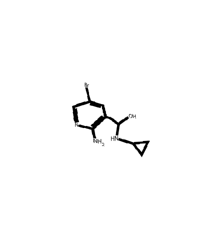 Nc1ncc(Br)cc1C(O)NC1CC1